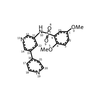 COc1ccc(OC)c(S(=O)(=O)Nc2cncc(-c3ccncc3)c2)c1